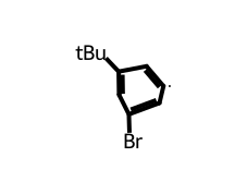 CC(C)(C)c1c[c]cc(Br)c1